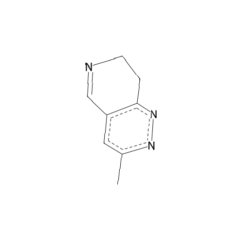 Cc1cc2c(nn1)CCN=C2